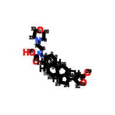 C[C@]12CC[C@H](N(CCN3CCOCC3)C(=O)O)C[C@H]1CC[C@H]1C3=CC[C@H](C4=CC(=O)OC4)[C@@]3(C)CC[C@@H]12